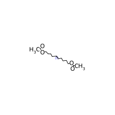 CC(=O)OCCCC/C=C/CCCCOC(C)=O